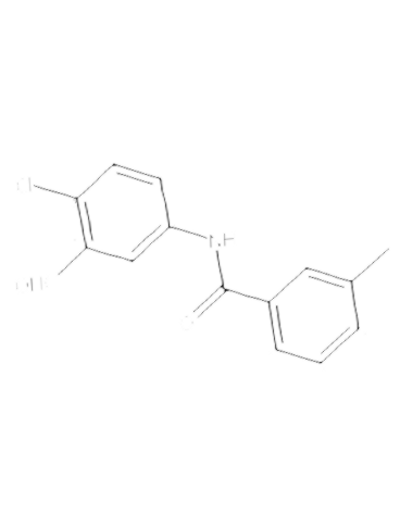 Cc1cccc(C(=O)Nc2ccc(Cl)c(C=O)c2)c1